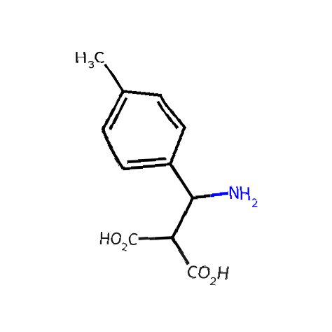 Cc1ccc(C(N)C(C(=O)O)C(=O)O)cc1